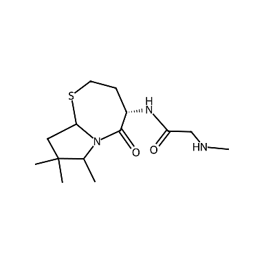 CNCC(=O)N[C@H]1CCSC2CC(C)(C)C(C)N2C1=O